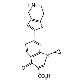 O=C(O)c1cn(C2CC2)c2cc(-c3cc4c(s3)CCNC4)ccc2c1=O